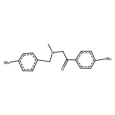 CN(CC(=O)c1ccc(C(C)(C)C)cc1)Cc1ccc(C(C)(C)C)cc1